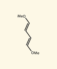 COC=CC=COC